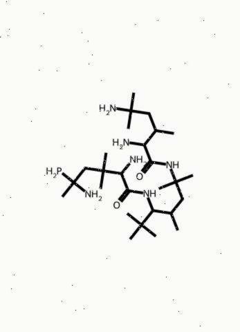 CC(CC(C)(C)N)C(N)C(=O)NC(C)(C)CC(C)C(NC(=O)C(N)C(C)(C)CC(C)(N)P)C(C)(C)C